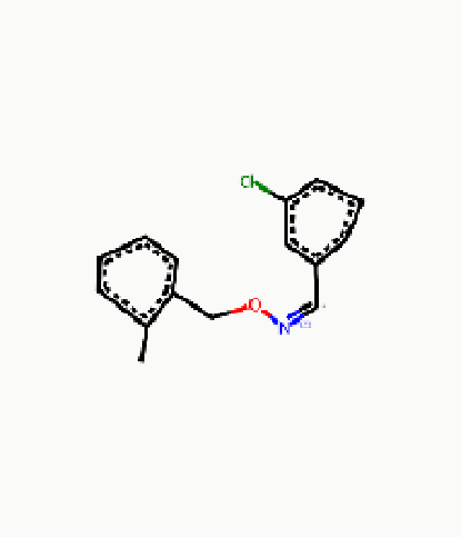 Cc1ccccc1CO/N=[C]\c1cccc(Cl)c1